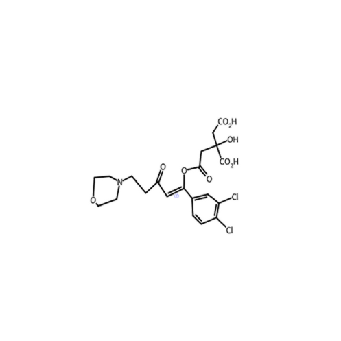 O=C(O)CC(O)(CC(=O)O/C(=C\C(=O)CCN1CCOCC1)c1ccc(Cl)c(Cl)c1)C(=O)O